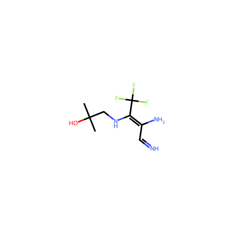 CC(C)(O)CN/C(=C(/N)C=N)C(F)(F)F